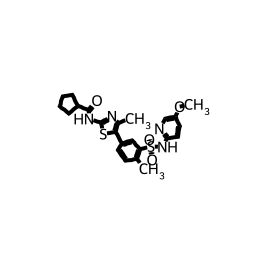 COc1ccc(NS(=O)(=O)c2cc(-c3sc(NC(=O)C4CCCC4)nc3C)ccc2C)nc1